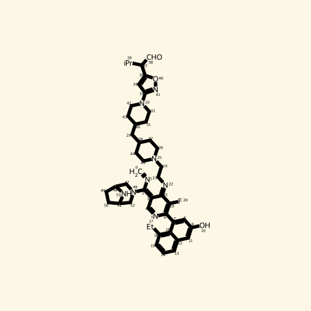 C=N/C(=C1/C=NC(c2cc(O)cc3cccc(CC)c23)=C(F)/C1=N/CCN1CCC(CC2CCN(c3cc(C(C=O)C(C)C)on3)CC2)CC1)N1CC2CCC(C1)N2